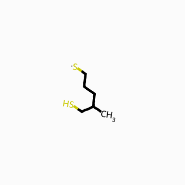 CC(CS)CCC[S]